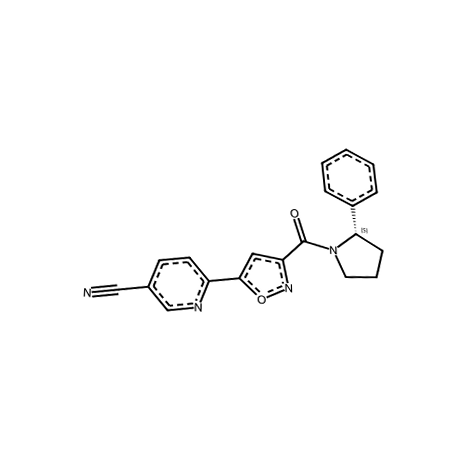 N#Cc1ccc(-c2cc(C(=O)N3CCC[C@H]3c3ccccc3)no2)nc1